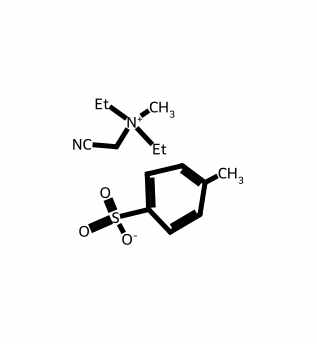 CC[N+](C)(CC)CC#N.Cc1ccc(S(=O)(=O)[O-])cc1